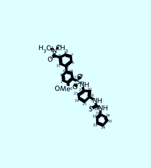 COc1ccc(-c2cccc(C(=O)N(C)C)c2)cc1S(=O)(=O)Nc1cccc(NC(=S)Nc2ccccc2)c1